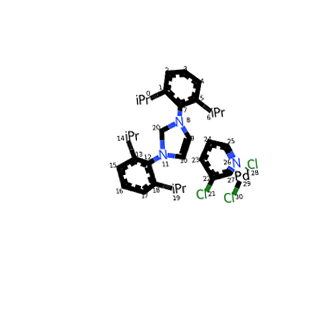 CC(C)c1cccc(C(C)C)c1N1C=CN(c2c(C(C)C)cccc2C(C)C)C1.Clc1cccnc1.[Cl][Pd][Cl]